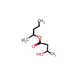 CCCC(C)OC(=O)CC(C)O